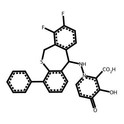 O=C(O)c1c(O)c(=O)ccn1NC1c2ccc(F)c(F)c2CSc2c(-c3ccccc3)cccc21